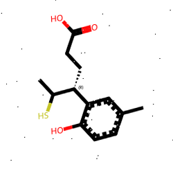 Cc1ccc(O)c([C@@H](CCC(=O)O)C(C)S)c1